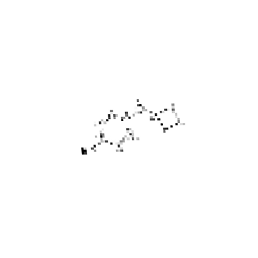 Brc1ccc(OC2CCC2)nc1